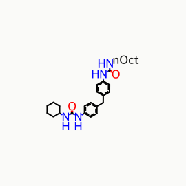 CCCCCCCCNC(=O)Nc1ccc(Cc2ccc(NC(=O)NC3CCCCC3)cc2)cc1